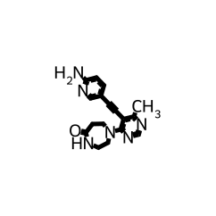 Cc1ncnc(N2CCNC(=O)CC2)c1C#Cc1ccc(N)nc1